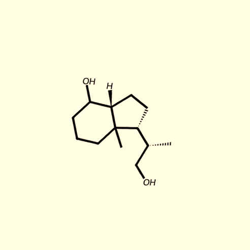 C[C@H](CO)[C@H]1CC[C@H]2C(O)CCCC12C